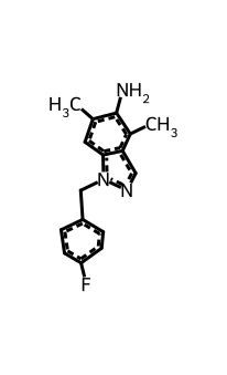 Cc1cc2c(cnn2Cc2ccc(F)cc2)c(C)c1N